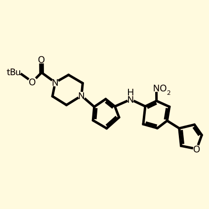 CC(C)(C)OC(=O)N1CCN(c2cccc(Nc3ccc(-c4ccoc4)cc3[N+](=O)[O-])c2)CC1